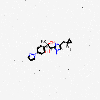 O[C@@H](c1nc(CC2(C(F)(F)F)CC2)c[nH]1)[C@](O)(c1ccc(-n2cccn2)cc1)C(F)(F)F